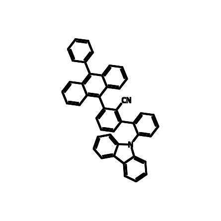 N#Cc1c(-c2ccccc2-n2c3ccccc3c3ccccc32)cccc1-c1c2ccccc2c(-c2ccccc2)c2ccccc12